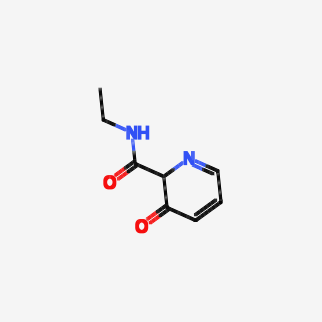 CCNC(=O)C1N=CC=CC1=O